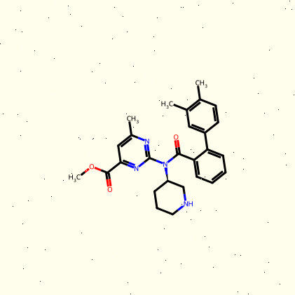 COC(=O)c1cc(C)nc(N(C(=O)c2ccccc2-c2ccc(C)c(C)c2)[C@@H]2CCCNC2)n1